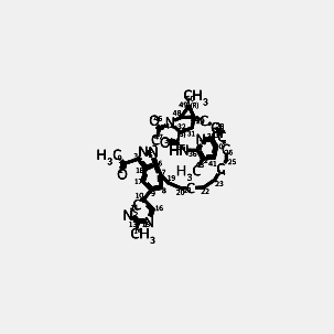 CC(=O)c1nn2c3c(cc(-c4cnc(C)nc4)cc13)CCCCCCCCCOC[C@@]13C[C@@H](C(=O)Nc4nc(Br)ccc4C)N(C(=O)C2)C1[C@@H]3C